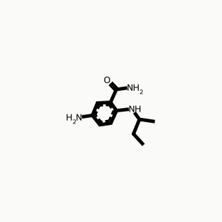 CCC(C)Nc1ccc(N)cc1C(N)=O